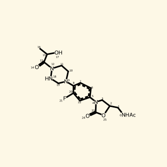 CC(=O)NCC1CN(c2ccc(N3CCN(C(=O)C(C)O)NC3)c(F)c2)C(=O)O1